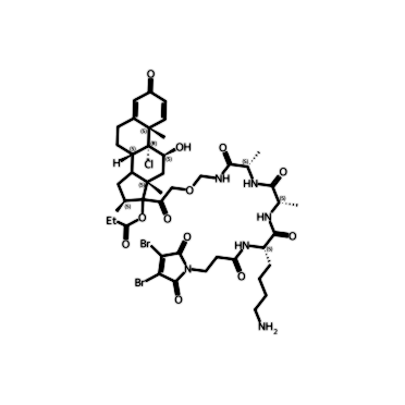 CCC(=O)OC1(C(=O)COCNC(=O)[C@H](C)NC(=O)[C@H](C)NC(=O)[C@H](CCCCN)NC(=O)CCN2C(=O)C(Br)=C(Br)C2=O)[C@@H](C)CC2[C@@H]3CCC4=CC(=O)C=C[C@]4(C)[C@@]3(Cl)[C@@H](O)C[C@@]21C